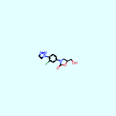 O=C1OC(CO)CN1c1ccc(-n2ccnn2)c(F)c1